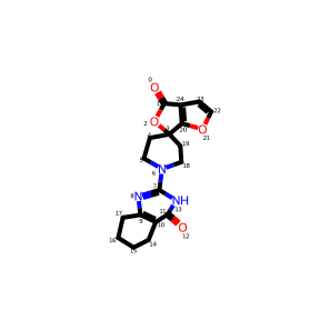 O=C1OC2(CCN(c3nc4c(c(=O)[nH]3)CCCC4)CC2)c2occc21